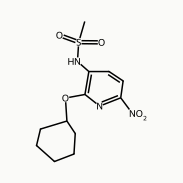 CS(=O)(=O)Nc1ccc([N+](=O)[O-])nc1OC1CCCCC1